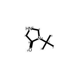 CC(C)(C)N1CNCC1=O